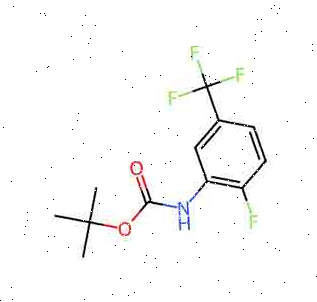 CC(C)(C)OC(=O)Nc1cc(C(F)(F)F)ccc1F